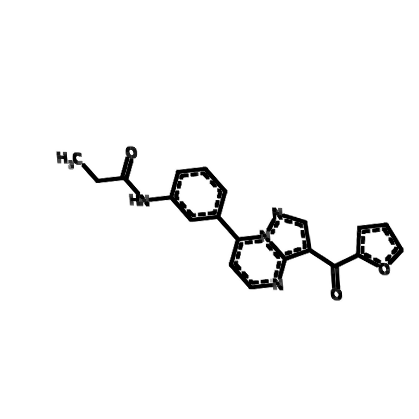 CCC(=O)Nc1cccc(-c2ccnc3c(C(=O)c4ccco4)cnn23)c1